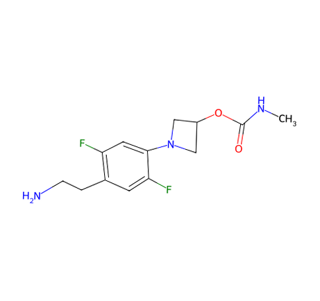 CNC(=O)OC1CN(c2cc(F)c(CCN)cc2F)C1